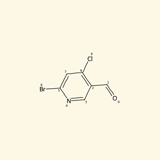 O=Cc1cnc(Br)cc1Cl